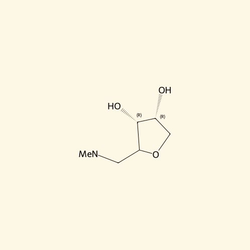 CNCC1OC[C@@H](O)[C@H]1O